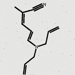 C=CCN(C=CC=C(C)C#N)CC=C